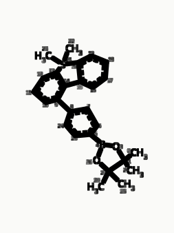 CC1(C)OB(c2ccc(-c3cccc4c3-c3ccccc3S4(C)C)cc2)OC1(C)C